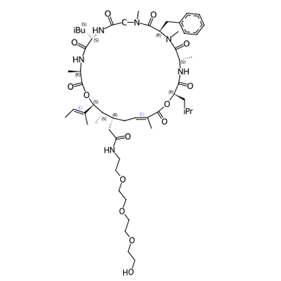 C/C=C(\C)[C@H]1OC(=O)[C@@H](C)NC(=O)[C@H]([C@@H](C)CC)NC(=O)CN(C)C(=O)[C@@H](Cc2ccccc2)N(C)C(=O)[C@H](C)NC(=O)[C@@H](CC(C)C)OC(=O)/C(C)=C/C[C@H](CC(=O)NCCOCCOCCOCCO)[C@@H]1C